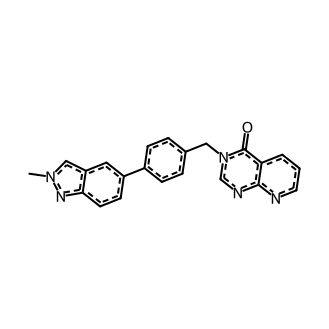 Cn1cc2cc(-c3ccc(Cn4cnc5ncccc5c4=O)cc3)ccc2n1